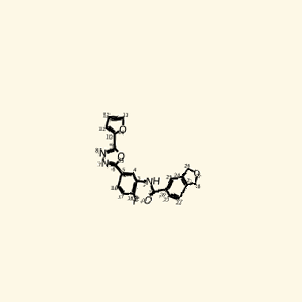 O=C(Nc1cc(-c2nnc(-c3ccco3)o2)ccc1F)c1ccc2c(c1)COC2